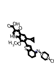 COc1c(-c2cc3c(s2)CCC/C3=N\N2CCN(C)CC2)c(C2CC2)cc2c(=O)c(C(=O)O)c[nH]c12